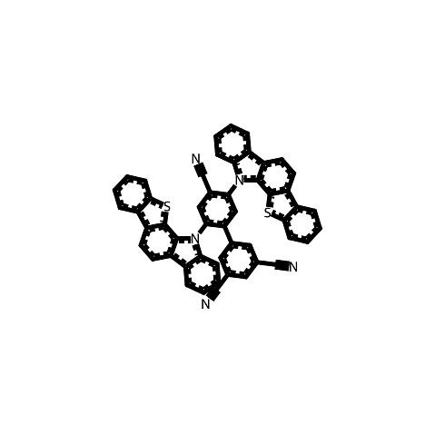 N#Cc1cc(C#N)cc(-c2cc(-n3c4ccccc4c4ccc5c6ccccc6sc5c43)c(C#N)cc2-n2c3ccccc3c3ccc4c5ccccc5sc4c32)c1